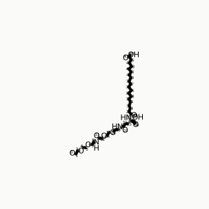 O=CCOCCOCCNC(=O)COCCOCCNC(=O)CC[C@H](NC(=O)CCCCCCCCCCCCCCCCCCC(=O)O)C(=O)O